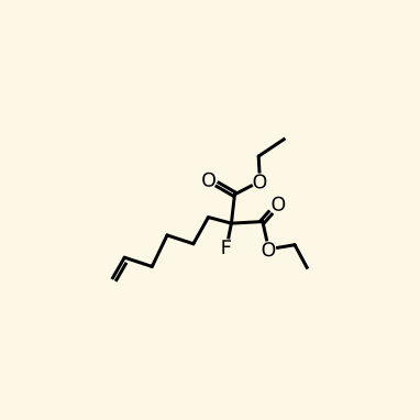 C=CCCCCC(F)(C(=O)OCC)C(=O)OCC